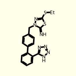 CCSc1nn(Cc2ccc(-c3ccccc3-c3nnn[nH]3)cc2)c(=N)s1